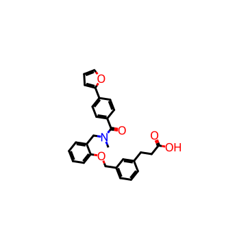 CN(Cc1ccccc1OCc1cccc(CCC(=O)O)c1)C(=O)c1ccc(-c2ccco2)cc1